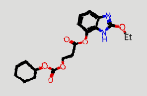 CCOc1nc2cccc(OC(=O)CCOC(=O)OC3CCCCC3)c2[nH]1